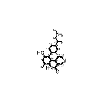 Cc1cc(O)c(-c2ccc(C(C)CN(C)C)cc2)c2c1[nH]c(=O)c1cnccc12